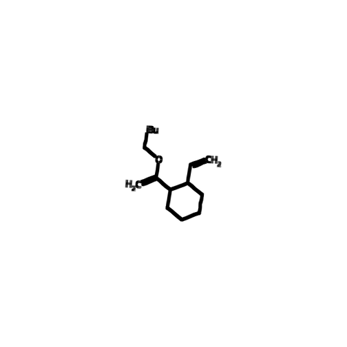 C=CC1CCCCC1C(=C)OCC(C)CC